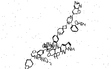 CC(C)Oc1ccccc1[C@@H]1CN([C@H]2COc3ncncc3C2)CCN1C1CC2(CCN(c3ccc(C(=O)NS(=O)(=O)c4cc5c(c([N+](=O)[O-])c4)N[C@H](C4CCOCC4)CO5)c(N4c5cc6cc[nH]c6nc5O[C@H]5COCC[C@@H]54)c3)CC2)C1